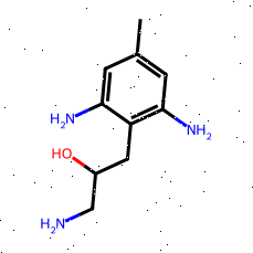 Cc1cc(N)c(CC(O)CN)c(N)c1